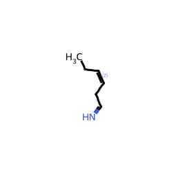 CC/C=C\CC=N